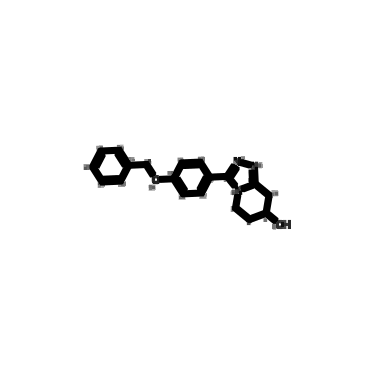 OC1CCn2c(nnc2-c2ccc(OCc3ccccc3)cc2)C1